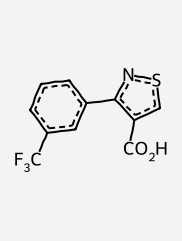 O=C(O)c1csnc1-c1cccc(C(F)(F)F)c1